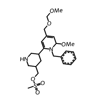 COCOCC1=CC(OC)N(Cc2ccccc2)C(C2CNCC(COS(C)(=O)=O)C2)=C1